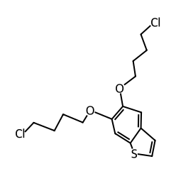 ClCCCCOc1cc2ccsc2cc1OCCCCCl